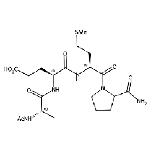 CSCC[C@H](NC(=O)[C@H](CCC(=O)O)NC(=O)[C@H](C)NC(C)=O)C(=O)N1CCCC1C(N)=O